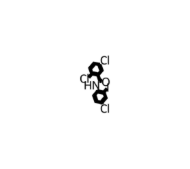 O=C(Nc1ccc(Cl)cc1I)c1cc(Cl)ccc1Cl